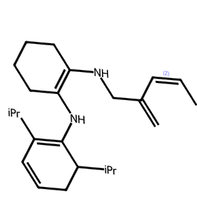 C=C(/C=C\C)CNC1=C(NC2=C(C(C)C)C=CCC2C(C)C)CCCC1